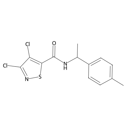 Cc1ccc(C(C)NC(=O)c2snc(Cl)c2Cl)cc1